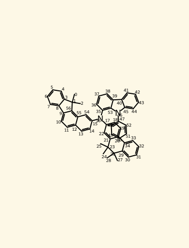 CC1(C)c2ccccc2-c2ccc3ccc(N(c4ccc5c(c4)C(C)(C)C(C)(C)c4ccccc4-5)c4cccc5c6ccccc6n(-c6ccccc6)c45)cc3c21